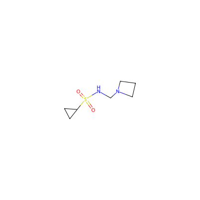 O=S(=O)(NCN1CCC1)C1CC1